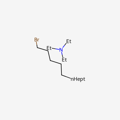 CCCCCCCCCCCCBr.CCN(CC)CC